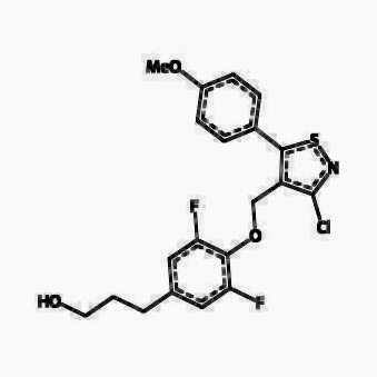 COc1ccc(-c2snc(Cl)c2COc2c(F)cc(CCCO)cc2F)cc1